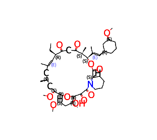 CC[C@@H]1/C=C(\C)C[C@H](C)C[C@H](OC)[C@H]2O[C@@](O)(C(=O)C(=O)N3CCCC[C@H]3C(=O)O[C@H](/C(C)=C/[C@@H]3CCC[C@H](OC)C3)[C@H](C)C(=O)CC1=O)[C@H](C)C[C@@H]2OC